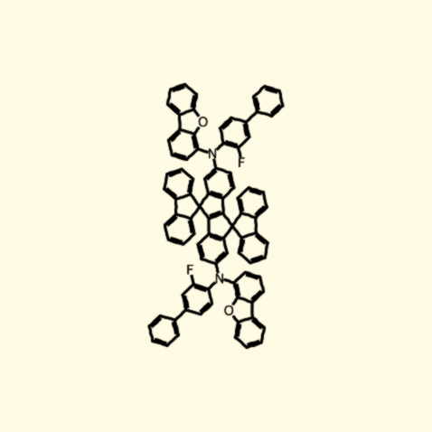 Fc1cc(-c2ccccc2)ccc1N(c1ccc2c(c1)C1(C3=C2C2(c4cc(N(c5ccc(-c6ccccc6)cc5F)c5cccc6c5oc5ccccc56)ccc43)c3ccccc3-c3ccccc32)c2ccccc2-c2ccccc21)c1cccc2c1oc1ccccc12